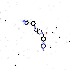 CN1CCN(c2ccc(C(=O)N3CCC4(CC3)CCN(c3cccc(-c5cn[nH]c5)c3)C4)cc2)CC1